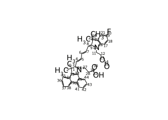 CC1(C)C(/C=C/C=C/C=C2\N(CCOC=O)c3ccc(F)cc3C2(C)C)=[N+](CCC(=O)O)c2c1c1ccccc1c1ccccc21